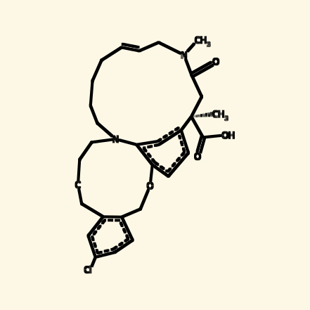 CN1C/C=C/CCCCN2CCCCc3cc(Cl)ccc3COc3ccc(cc32)[C@](C)(C(=O)O)CC1=O